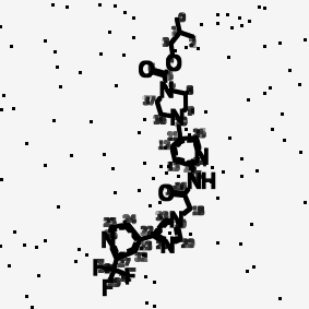 CC(C)COC(=O)N1CCN(c2ccc(NC(=O)Cn3cnc(-c4ccnc(C(F)(F)F)c4)c3)nc2)CC1